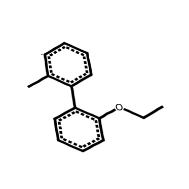 CCOc1ccccc1-c1ccc[c]c1C